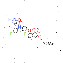 COCCCOc1cc2nccc(Oc3ccc(N(C(=O)C4(C(N)=O)CC4)c4ccc(F)cc4)cc3F)c2c2c1OCCO2